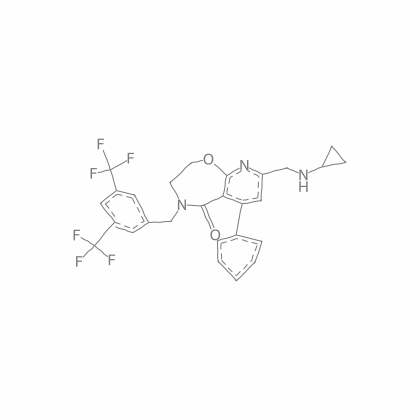 O=C1c2c(-c3ccccc3)cc(CNC3CC3)nc2OCCN1Cc1cc(C(F)(F)F)cc(C(F)(F)F)c1